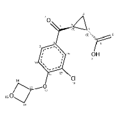 C=C(O)[C@H]1C[C@@H]1C(=O)c1ccc(OC2COC2)c(Cl)c1